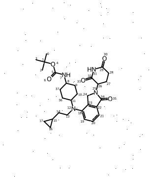 CC(C)(C)OC(=O)NC1CCC(N(CCC2CC2)c2cccc3c2CN(C2CCC(=O)NC2=O)C3=O)CC1